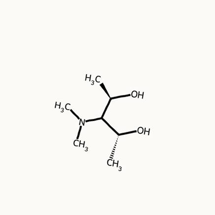 C[C@@H](O)C([C@@H](C)O)N(C)C